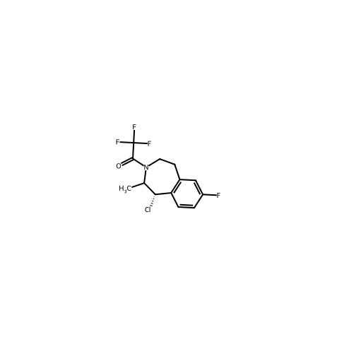 CC1[C@@H](Cl)c2ccc(F)cc2CCN1C(=O)C(F)(F)F